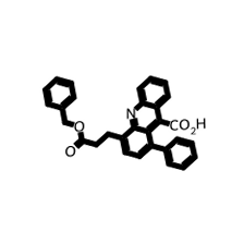 O=C(CCc1ccc(-c2ccccc2)c2c(C(=O)O)c3ccccc3nc12)OCc1ccccc1